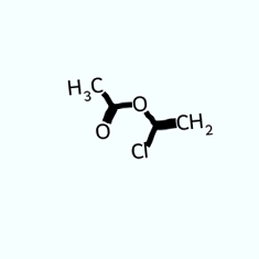 C=C(Cl)OC(C)=O